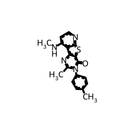 CNc1ccnc2sc3c(=O)n(-c4ccc(C)cc4)c(C)nc3c12